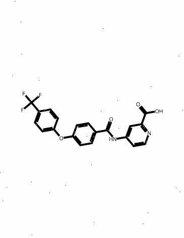 O=C(Nc1ccnc(C(=O)O)c1)c1ccc(Oc2ccc(C(F)(F)F)cc2)cc1